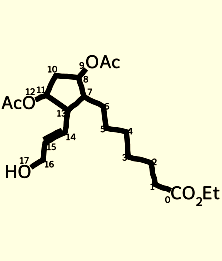 CCOC(=O)CCCCCCC1C(OC(C)=O)CC(OC(C)=O)C1C=CCO